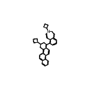 [c]1ccc2c(c1C1=c3ccc4c(c3CC(C3CCC3)C1)CC=c1ccccc1=4)C=CN(C1CCC1)CC2